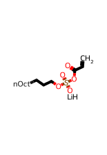 C=CC(=O)OS(=O)(=O)OCCCCCCCCCCC.[LiH]